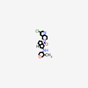 C[C@H]1COCC[C@H]1N[C@@H]1C[C@H]2CCC[C@@]2(C(=O)N2CCc3ncc(Cl)cc3C2)C1